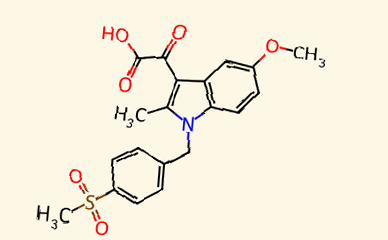 COc1ccc2c(c1)c(C(=O)C(=O)O)c(C)n2Cc1ccc(S(C)(=O)=O)cc1